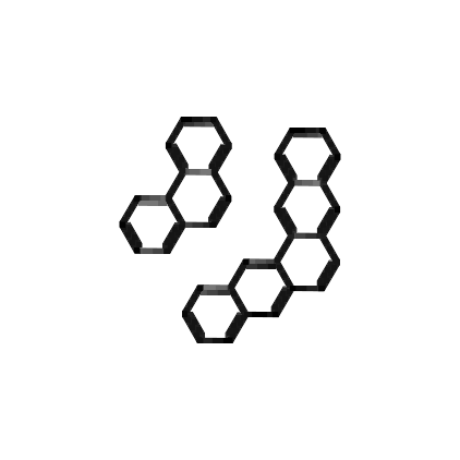 c1ccc2c(c1)ccc1ccccc12.c1ccc2cc3c(ccc4cc5ccccc5cc43)cc2c1